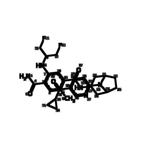 Cc1cc(C(N)=O)c(NC(CF)CF)cc1C(=O)NC1CC2CCC(C1)N2c1ccc(C(=O)C2CC2)cn1